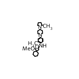 COC(=O)C1(CCNc2ccc(N3CCC(N4CCCC4C)CC3)cc2C)CCCCC1